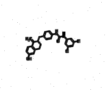 C=C1c2ccc(O)cc2CCC1Cc1ccc(NC(=O)Nc2cc(Cl)cc(Cl)c2)cc1